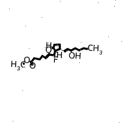 CCCCC[C@H](O)/C=C/[C@H]1CC[C@@H]2O/C(=C\CCCC(=O)OC)C(F)[C@@H]21